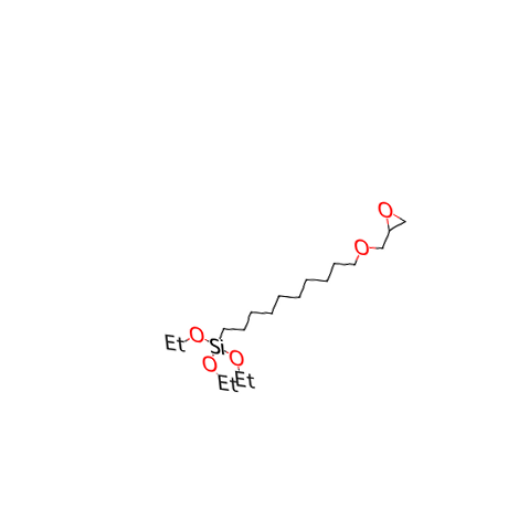 CCO[Si](CCCCCCCCCCOCC1CO1)(OCC)OCC